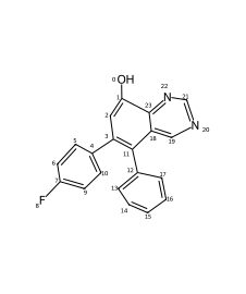 Oc1cc(-c2ccc(F)cc2)c(-c2ccccc2)c2cncnc12